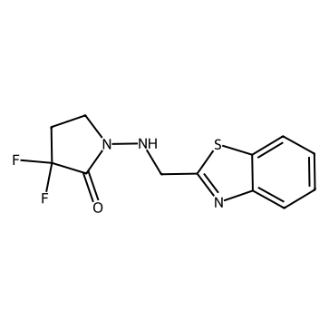 O=C1N(NCc2nc3ccccc3s2)CCC1(F)F